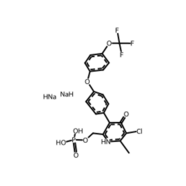 Cc1[nH]c(COP(=O)(O)O)c(-c2ccc(Oc3ccc(OC(F)(F)F)cc3)cc2)c(=O)c1Cl.[NaH].[NaH]